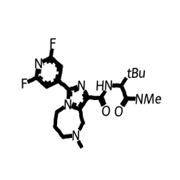 CNC(=O)C(NC(=O)c1nc(-c2cc(F)nc(F)c2)n2c1CN(C)CCC2)C(C)(C)C